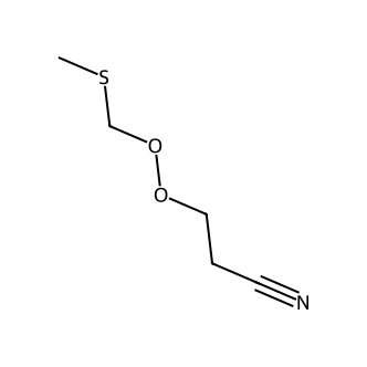 CSCOOCCC#N